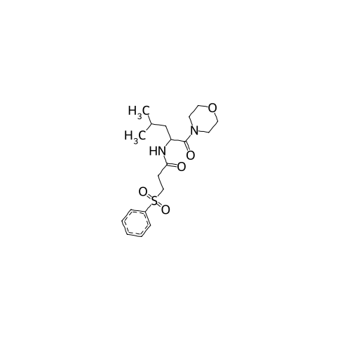 CC(C)CC(NC(=O)CCS(=O)(=O)c1ccccc1)C(=O)N1CCOCC1